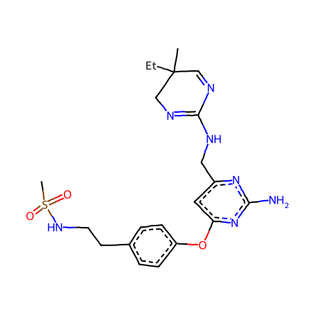 CCC1(C)C=NC(NCc2cc(Oc3ccc(CCNS(C)(=O)=O)cc3)nc(N)n2)=NC1